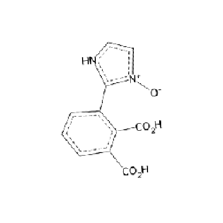 O=C(O)c1cccc(-c2[nH]cc[n+]2[O-])c1C(=O)O